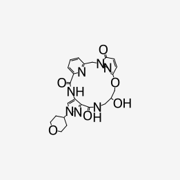 O=C1Nc2cn(C3CCOCC3)nc2C(=O)NCC(O)COc2ccc(=O)n(n2)Cc2cccc1n2